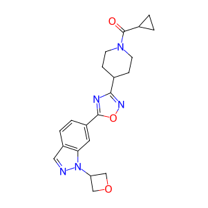 O=C(C1CC1)N1CCC(c2noc(-c3ccc4cnn(C5COC5)c4c3)n2)CC1